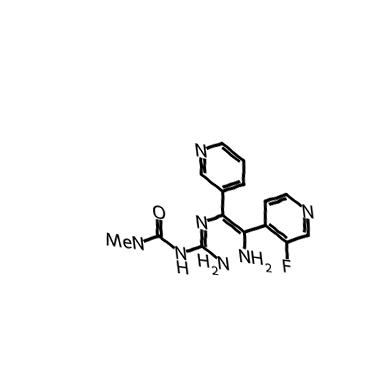 CNC(=O)N/C(N)=N/C(=C(\N)c1ccncc1F)c1cccnc1